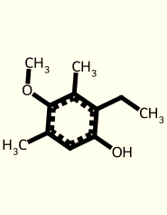 CCc1c(O)cc(C)c(OC)c1C